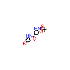 COc1ccc(NC(=O)[C@H]2CC[C@H](NS(=O)(=O)C(C)(C)C)CC2)cc1